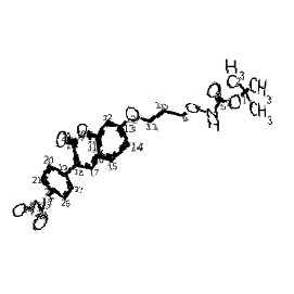 CC(C)(C)OC(=O)NOCCCOc1ccc2cc(-c3ccc([N+](=O)[O-])cc3)c(=O)oc2c1